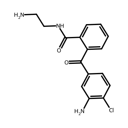 NCCNC(=O)c1ccccc1C(=O)c1ccc(Cl)c(N)c1